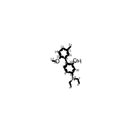 CCN(CC)c1ccc(-c2cc(C)ccc2OC)c(O)c1